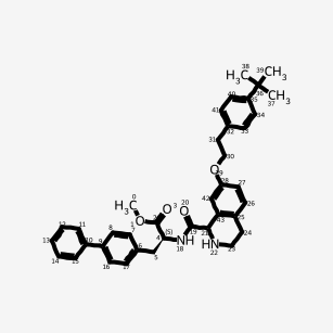 COC(=O)[C@H](Cc1ccc(-c2ccccc2)cc1)NC(=O)C1NCCc2ccc(OCCc3ccc(C(C)(C)C)cc3)cc21